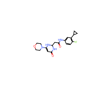 O=C1C=C(N2CCOCC2)NC(CC(=O)Nc2ccc(F)c(C3CC3)c2)N1